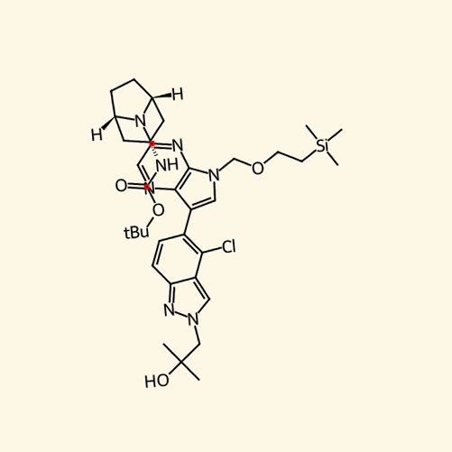 CC(C)(O)Cn1cc2c(Cl)c(-c3cn(COCC[Si](C)(C)C)c4nc(N5[C@@H]6CC[C@H]5C[C@@H](NC(=O)OC(C)(C)C)C6)cnc34)ccc2n1